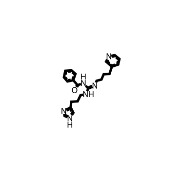 O=C(NC(=NCCCCc1cccnc1)NCCCc1c[nH]cn1)c1ccccc1